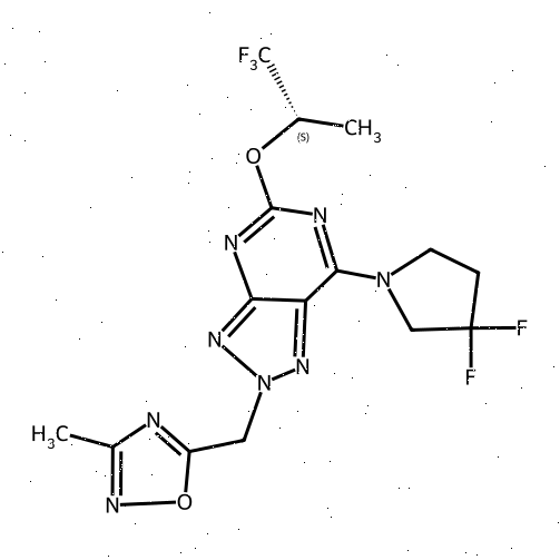 Cc1noc(Cn2nc3nc(O[C@@H](C)C(F)(F)F)nc(N4CCC(F)(F)C4)c3n2)n1